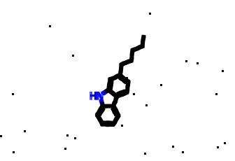 CCCCCc1ccc2c(c1)[nH]c1ccccc12